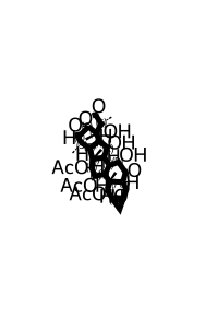 CC(=O)O[C@H]1[C@H]2[C@H]([C@@H]3[C@@H](O)[C@@H]4[C@H]([C@H](C)[C@@H]5O[C@@]56OC(=O)[C@@](C)(O)[C@]46C)[C@@]3(C)[C@H]1OC(C)=O)[C@@H](O)C(=O)[C@H]1CC3(O)C[C@@H]3[C@H](OC(C)=O)[C@]21C